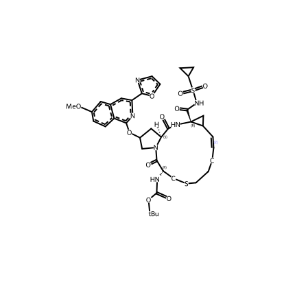 COc1ccc2c(OC3C[C@H]4C(=O)N[C@]5(C(=O)NS(=O)(=O)C6CC6)CC5/C=C\CCCSC[C@H](NC(=O)OC(C)(C)C)C(=O)N4C3)nc(-c3ncco3)cc2c1